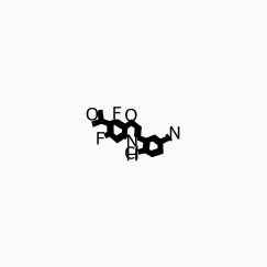 N#Cc1ccc(Cl)c(-c2cc(=O)c3c(F)c(C4COC4)c(F)cc3[nH]2)c1